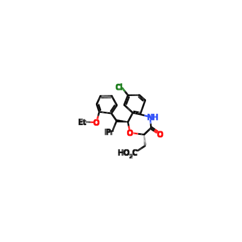 CCOc1ccccc1C(C(C)C)[C@@H]1O[C@@H](CC(=O)O)C(=O)Nc2ccc(Cl)cc21